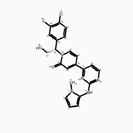 Cn1cccc1Nc1nccc(-c2ccn([C@H](CO)c3ccc(Cl)c(F)c3)c(=O)c2)n1